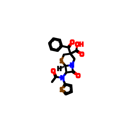 CC(=O)N(c1cccs1)C1C(=O)N2CC(C(=O)O)(C(=O)c3ccccc3)CS[C@H]12